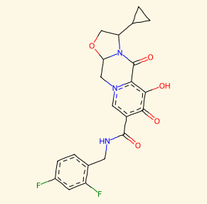 O=C(NCc1ccc(F)cc1F)c1cn2c(c(O)c1=O)C(=O)N1C(C2)OCC1C1CC1